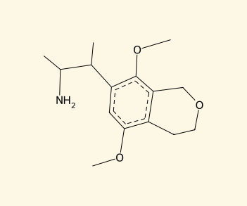 COc1cc(C(C)C(C)N)c(OC)c2c1CCOC2